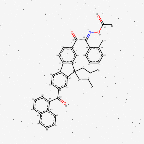 CCCC1(CCC)c2cc(C(=O)/C(=N/OC(C)=O)c3ccccc3C)ccc2-c2ccc(C(=O)c3cccc4ccccc34)cc21